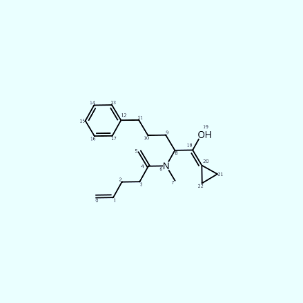 C=CCCC(=C)N(C)C(CCCc1ccccc1)C(O)=C1CC1